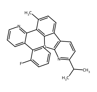 Cc1ccc2c(oc3nc(C(C)C)ccc32)c1-c1ncccc1-c1ccccc1F